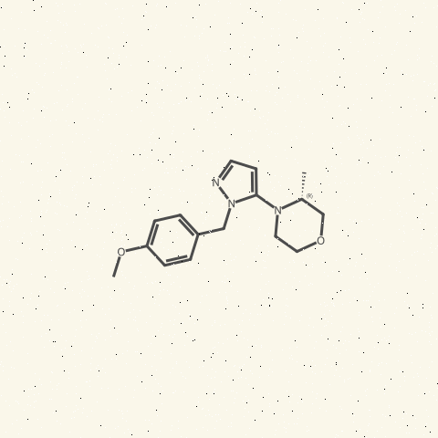 COc1ccc(Cn2nccc2N2CCOC[C@H]2C)cc1